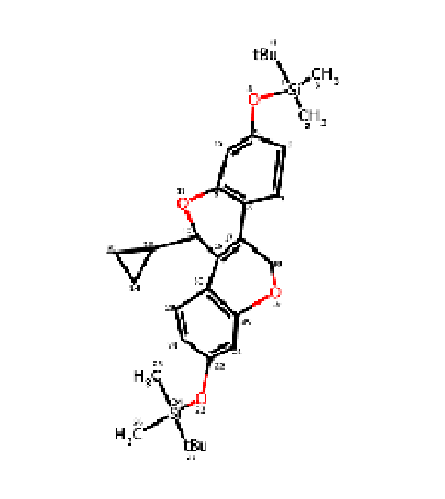 CC(C)(C)[Si](C)(C)Oc1ccc2c(c1)OC(C1CC1)C1=C2COc2cc(O[Si](C)(C)C(C)(C)C)ccc21